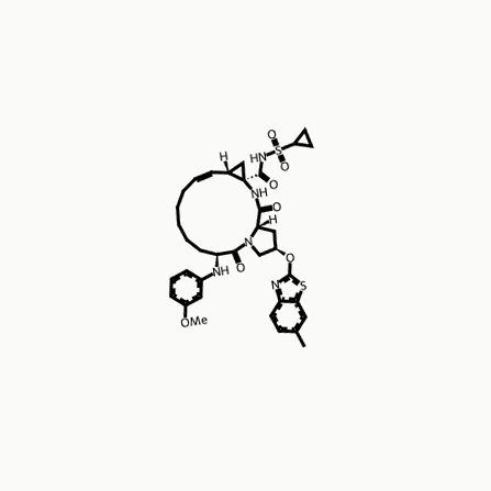 COc1cccc(N[C@H]2CCCCC/C=C\[C@@H]3C[C@@]3(C(=O)NS(=O)(=O)C3CC3)NC(=O)[C@@H]3C[C@@H](Oc4nc5ccc(C)cc5s4)CN3C2=O)c1